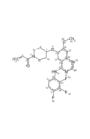 C=CC(=O)N1CCC(Oc2cc3c(Nc4ccc(F)c(F)c4F)ncnc3cc2OC)CC1